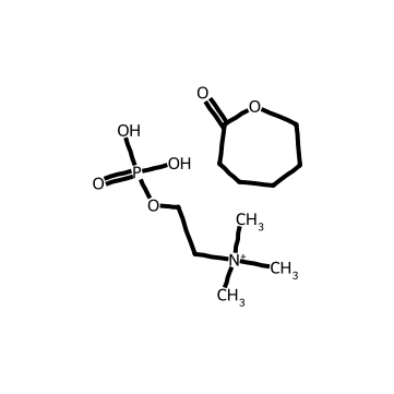 C[N+](C)(C)CCOP(=O)(O)O.O=C1CCCCCO1